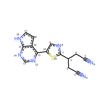 N#CCC(CC#N)c1ncc(-c2ncnc3[nH]ccc23)s1